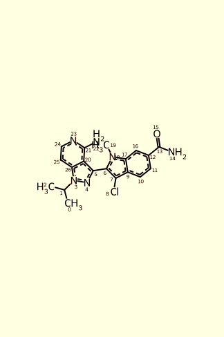 CC(C)n1nc(-c2c(Cl)c3ccc(C(N)=O)cc3n2C)c2c(N)nccc21